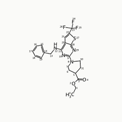 CCOC(=O)C1CCN(c2nc(NCc3ccccc3)c3cc(C(F)(F)F)sc3n2)CC1